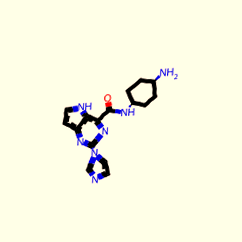 N[C@H]1CC[C@H](NC(=O)c2nc(-n3ccnc3)nc3cc[nH]c23)CC1